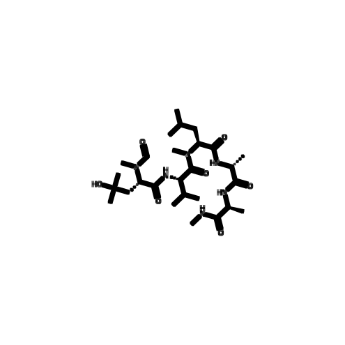 CNC(=O)[C@H](C)NC(=O)[C@@H](C)NC(=O)[C@H](CC(C)C)N(C)C(=O)[C@@H](NC(=O)[C@H](CC(C)(C)O)N(C)C=O)C(C)C